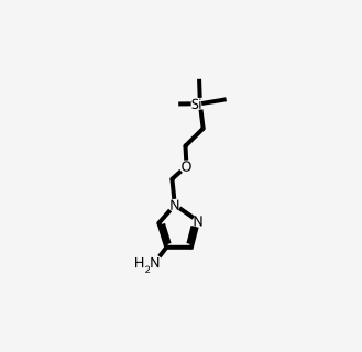 C[Si](C)(C)CCOCn1cc(N)cn1